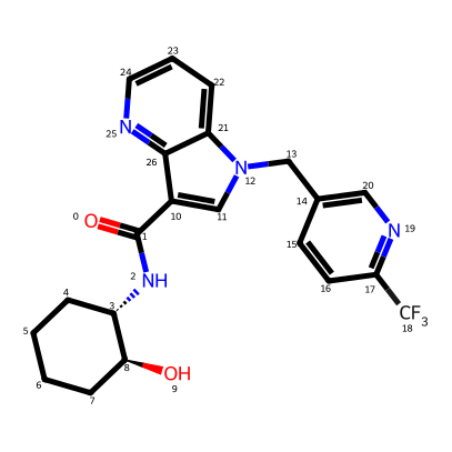 O=C(N[C@H]1CCCC[C@@H]1O)c1cn(Cc2ccc(C(F)(F)F)nc2)c2cccnc12